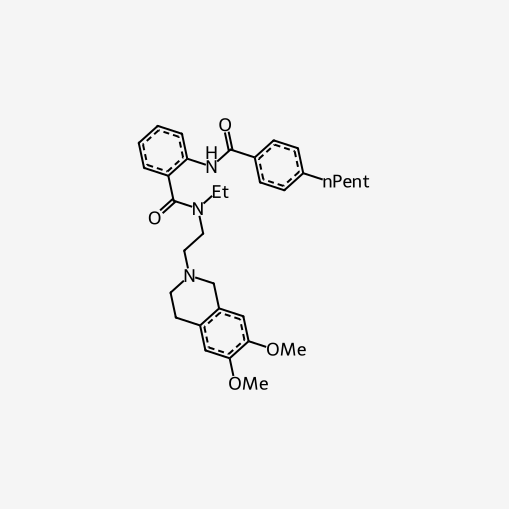 CCCCCc1ccc(C(=O)Nc2ccccc2C(=O)N(CC)CCN2CCc3cc(OC)c(OC)cc3C2)cc1